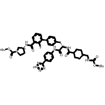 CC(C)(C)OC(=O)NCC1CCC(C(=O)N[C@@H](Cc2ccc(-c3cccc(C(=O)N[C@@H]4CCN(C(=O)OC(C)(C)C)C4)c3F)cc2)C(=O)Nc2ccc(-c3nn[nH]n3)cc2)CC1